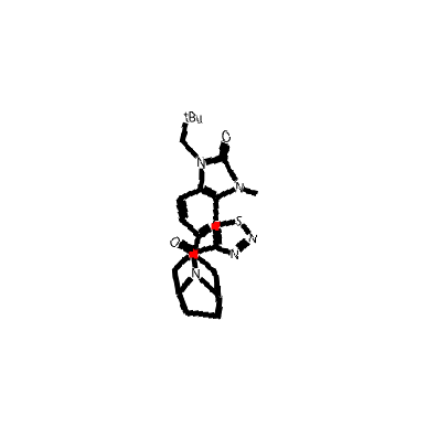 Cn1c(=O)n(CC(C)(C)C)c2ccc(N3CC4CCC(C3)N4C(=O)c3csnn3)nc21